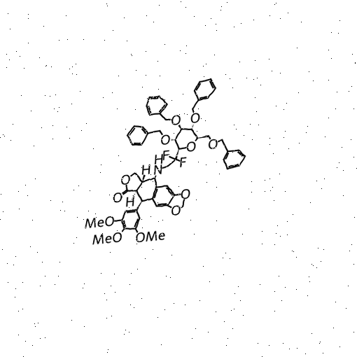 COc1cc([C@@H]2c3cc4c(cc3[C@@H](NCC(F)(F)[C@@H]3O[C@H](COCc5ccccc5)[C@@H](OCc5ccccc5)[C@H](OCc5ccccc5)[C@H]3OCc3ccccc3)[C@H]3COC(=O)[C@H]23)OCO4)cc(OC)c1OC